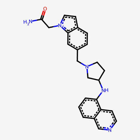 NC(=O)Cn1ccc2ccc(CN3CCC(Nc4cccc5cnccc45)C3)cc21